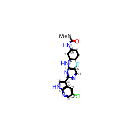 CNC(=O)N[C@H]1CCC[C@@H](Nc2nc(-c3c[nH]c4ncc(Cl)cc34)ncc2F)C1